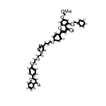 COCOc1cc(OCc2ccccc2)c2c(=O)cc(-c3ccc(OCCCc4cn(CCOCCOc5ccc(-c6cc(=O)c7ccccc7o6)cc5)nn4)cc3)oc2c1